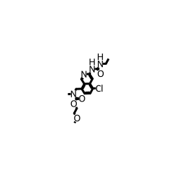 CCNC(=O)Nc1cc2c(Cl)ccc(CN(C)C(=O)OCCOC)c2cn1